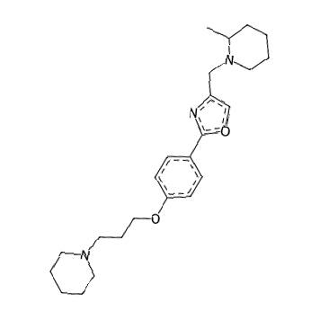 CC1CCCCN1Cc1coc(-c2ccc(OCCCN3CCCCC3)cc2)n1